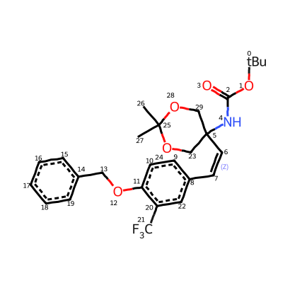 CC(C)(C)OC(=O)NC1(/C=C\c2ccc(OCc3ccccc3)c(C(F)(F)F)c2)COC(C)(C)OC1